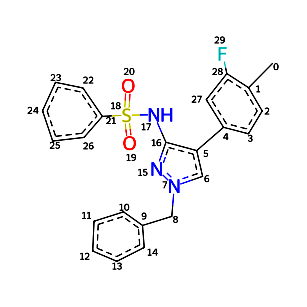 Cc1ccc(-c2cn(Cc3ccccc3)nc2NS(=O)(=O)c2ccccc2)cc1F